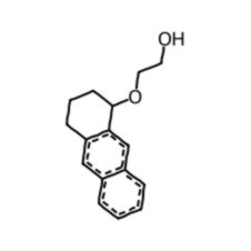 OCCOC1CCCc2cc3ccccc3cc21